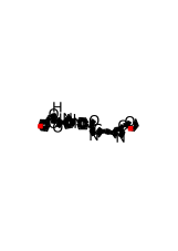 O=C(NS(=O)(=O)Cc1ccccc1)c1ccc(N2CCN(C(=O)c3cncc(C#Cc4cncc(OC5CCCCO5)c4)c3)CC2)nn1